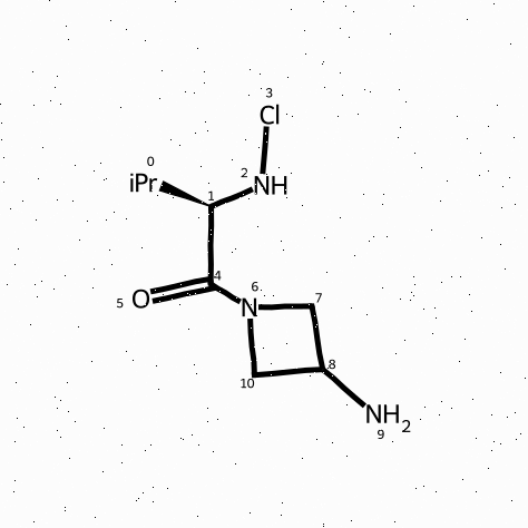 CC(C)[C@@H](NCl)C(=O)N1CC(N)C1